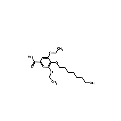 CCOc1cc(C(=O)O)cc(OCC)c1OCCCCCCCO